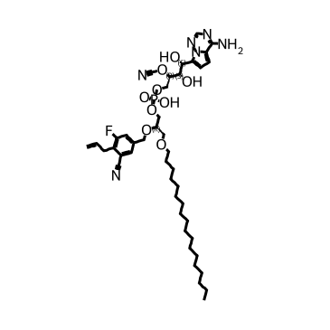 C=CCc1c(F)cc(CO[C@H](COCCCCCCCCCCCCCCCCCC)COP(=O)(O)OC[C@@H](OC#N)[C@@H](O)[C@@H](O)c2ccc3c(N)ncnn23)cc1C#N